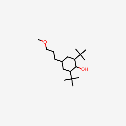 COCCCC1CC(C(C)(C)C)C(O)C(C(C)(C)C)C1